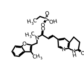 CCS(=O)(=O)O.Cc1c(CN(C)C(=O)/C=C/c2cnc3c(c2)CCC(=O)N3)oc2ccccc12